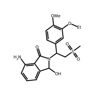 CCOc1cc(C(CS(C)(=O)=O)N2C(=O)c3c(N)cccc3C2O)ccc1OC